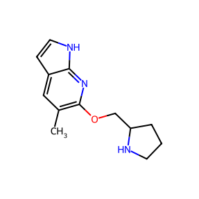 Cc1cc2cc[nH]c2nc1OCC1CCCN1